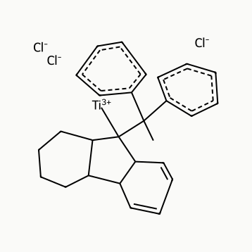 CC(c1ccccc1)(c1ccccc1)[C]1([Ti+3])C2C=CC=CC2C2CCCCC21.[Cl-].[Cl-].[Cl-]